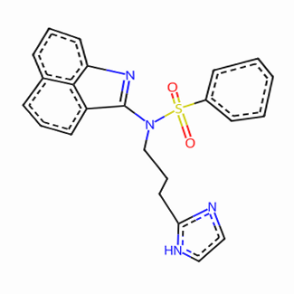 O=S(=O)(c1ccccc1)N(CCCc1ncc[nH]1)C1=Nc2cccc3cccc1c23